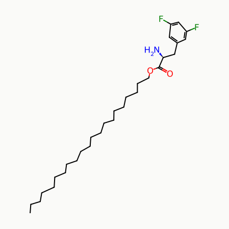 CCCCCCCCCCCCCCCCCCCCCOC(=O)[C@@H](N)Cc1cc(F)cc(F)c1